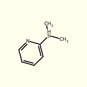 C[SiH](C)c1ccccn1